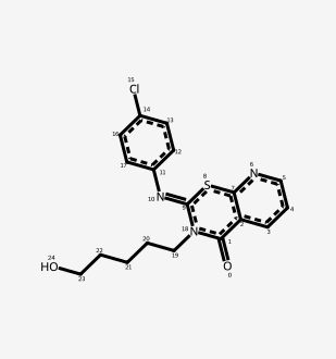 O=c1c2cccnc2sc(=Nc2ccc(Cl)cc2)n1CCCCCO